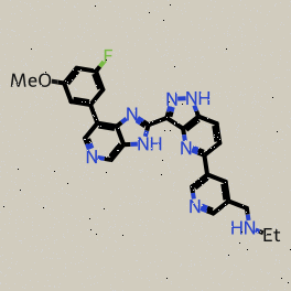 CCNCc1cncc(-c2ccc3[nH]nc(-c4nc5c(-c6cc(F)cc(OC)c6)cncc5[nH]4)c3n2)c1